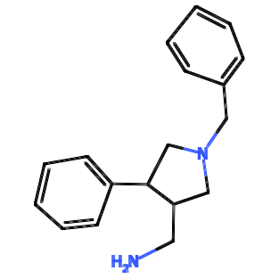 NCC1CN(Cc2ccccc2)CC1c1ccccc1